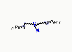 CCCCC/C=C\C/C=C\CCCCCCCCN(CCCCCCCC/C=C\C/C=C\CCCCC)CCCCN(C)C